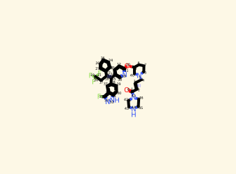 O=C(/C=C/CN1CCCC(Oc2ccc(/C(=C(/CC(F)(F)F)c3ccccc3)c3ccc4[nH]nc(F)c4c3)cn2)C1)N1CCNCC1